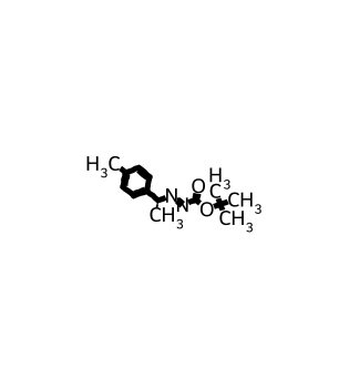 Cc1ccc([C@@H](C)N=NC(=O)OC(C)(C)C)cc1